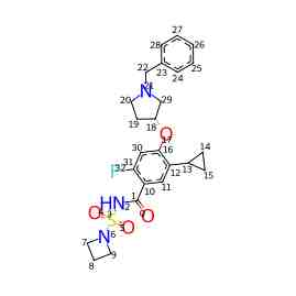 O=C(NS(=O)(=O)N1CCC1)c1cc(C2CC2)c(O[C@@H]2CCN(Cc3ccccc3)C2)cc1F